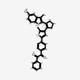 Cc1sc(-c2ccc(C(=O)C(=O)c3ccccc3)cc2)cc1C1=C(c2sc3ccc(Cl)cc3c2C)CCC1